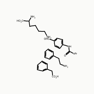 CCCC(=O)Nc1ccc(C=O)cc1.NCCCCC(N)C(=O)O.NCCc1ccccc1.O=C(O)Cc1ccccc1